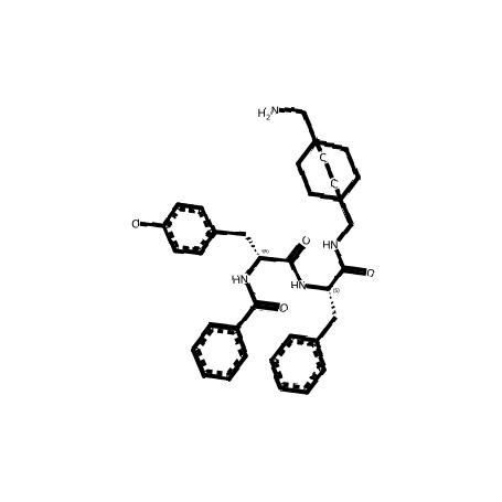 NCC12CCC(CNC(=O)[C@H](Cc3ccccc3)NC(=O)[C@@H](Cc3ccc(Cl)cc3)NC(=O)c3ccccc3)(CC1)CC2